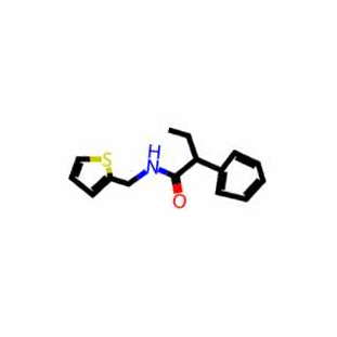 CCC(C(=O)NCc1cccs1)c1ccccc1